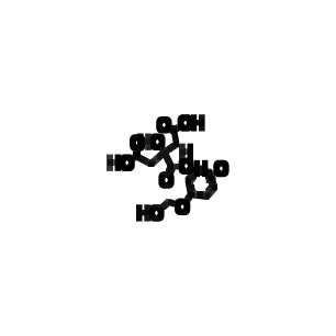 O.O=C(O)CC(O)(CC(=O)O)C(=O)O.OCOc1ccccc1